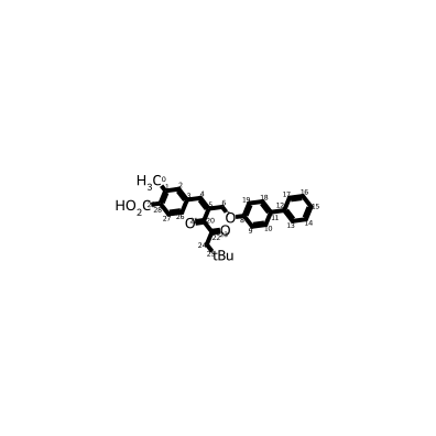 Cc1cc(/C=C(/COc2ccc(-c3ccccc3)cc2)C(=O)C(=O)CC(C)(C)C)ccc1C(=O)O